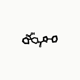 O=C(c1ccc(-c2ccccc2)s1)N1CCC(C(=O)O)(c2ccccc2)CC1